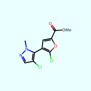 COC(=O)c1cc(-c2c(Cl)cnn2C)c(Cl)o1